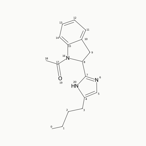 CCCCc1cnc(C2Cc3ccccc3N2C(C)=O)[nH]1